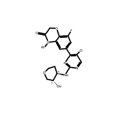 CC(C)N1C(=O)COc2c(F)cc(-c3nc(N[C@@H]4CCOC[C@H]4O)ncc3Cl)cc21